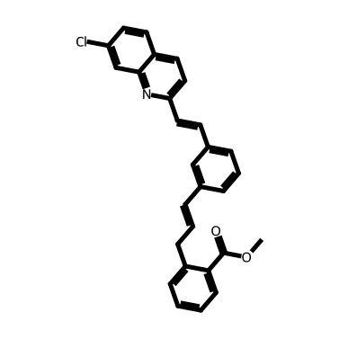 COC(=O)c1ccccc1C/C=C/c1cccc(/C=C/c2ccc3ccc(Cl)cc3n2)c1